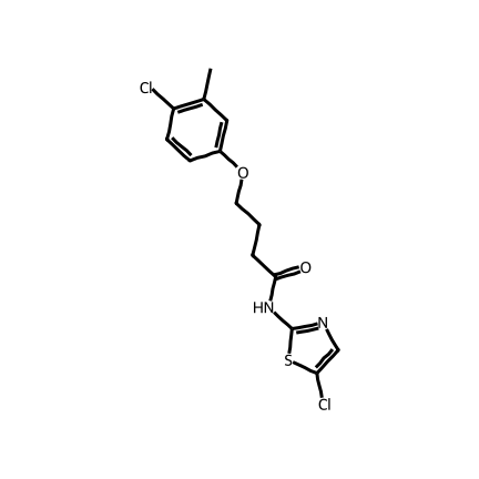 Cc1cc(OCCCC(=O)Nc2ncc(Cl)s2)ccc1Cl